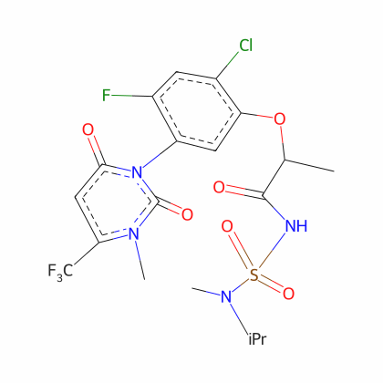 CC(Oc1cc(-n2c(=O)cc(C(F)(F)F)n(C)c2=O)c(F)cc1Cl)C(=O)NS(=O)(=O)N(C)C(C)C